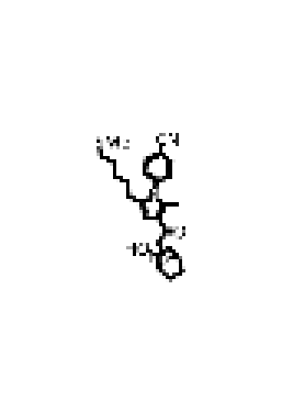 CSCCCCCc1cc(C(=O)CN2C3CCC2[C@@H](O)C3)c(C)n1-c1ccc(C#N)cc1